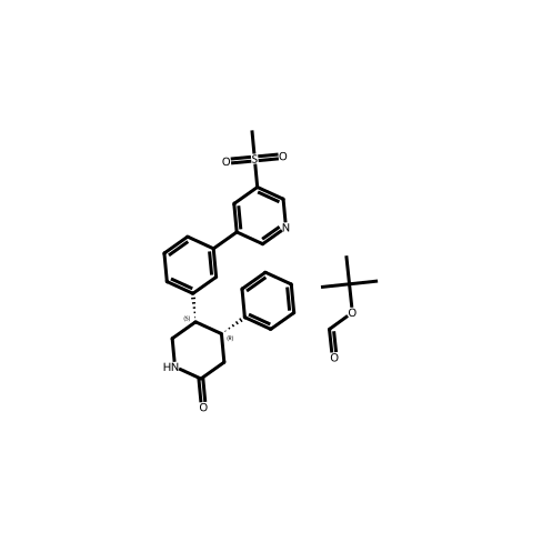 CC(C)(C)OC=O.CS(=O)(=O)c1cncc(-c2cccc([C@H]3CNC(=O)C[C@H]3c3ccccc3)c2)c1